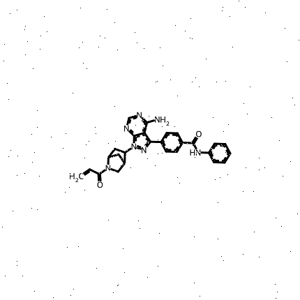 C=CC(=O)N1CC2CC1CC2n1nc(-c2ccc(C(=O)Nc3ccccc3)cc2)c2c(N)ncnc21